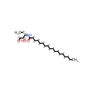 CCCCCCCCCCCCCCCCCC(=O)N[C@@H](CC)[C@H](O)C=O